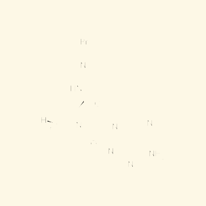 Cc1ccnc2c3c(N)ncnc3n(CC(=O)N3C4C[C@@H]4C[C@H]3C(=O)Nc3cccc(Br)n3)c12